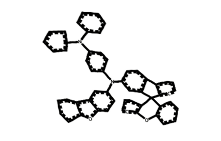 c1ccc(N(c2ccccc2)c2ccc(N(c3ccc4c(c3)C3(c5ccccc5Oc5ccccc53)c3ccccc3-4)c3ccc4oc5ccccc5c4c3)cc2)cc1